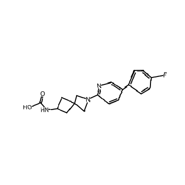 O=C(O)NC1CC2(C1)CN(c1ccc(-c3ccc(F)cc3)cn1)C2